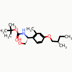 CC[C@H](C)COc1ccc([C@H](CO)NC(=O)OC(C)(C)C)c(C)c1